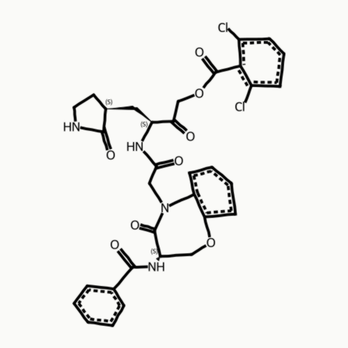 O=C(CN1C(=O)[C@@H](NC(=O)c2ccccc2)COc2ccccc21)N[C@@H](C[C@@H]1CCNC1=O)C(=O)COC(=O)c1c(Cl)cccc1Cl